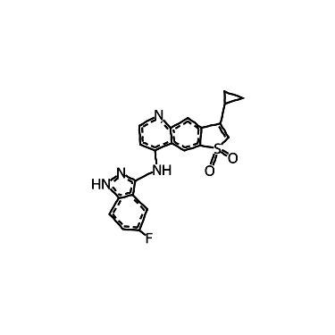 O=S1(=O)C=C(C2CC2)c2cc3nccc(Nc4n[nH]c5ccc(F)cc45)c3cc21